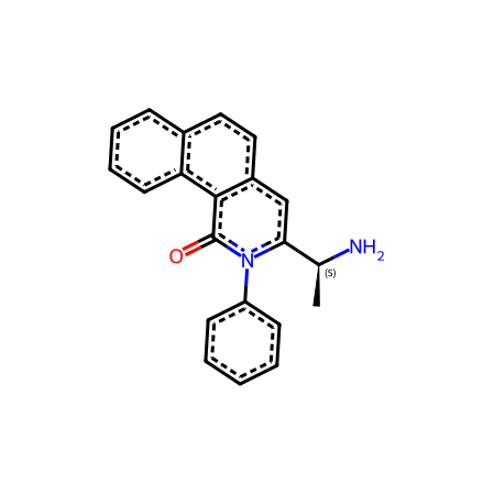 C[C@H](N)c1cc2ccc3ccccc3c2c(=O)n1-c1ccccc1